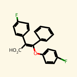 O=C(O)/C(=C(\Oc1ccc(F)cc1)c1ccccc1)c1ccc(F)cc1